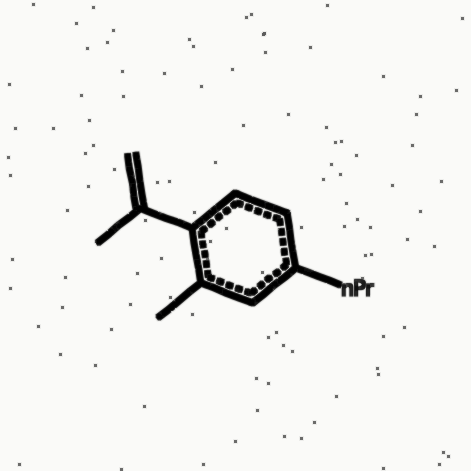 C=C(C)c1ccc(CCC)cc1C